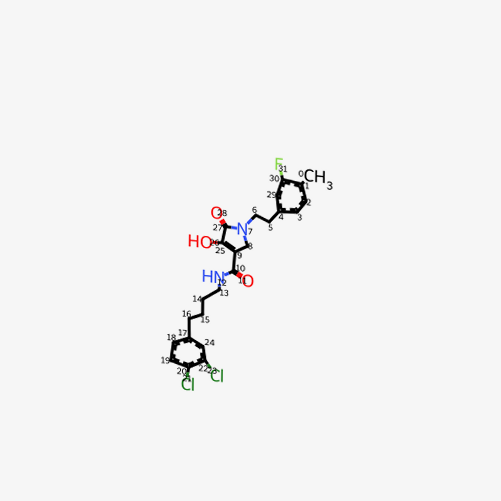 Cc1ccc(CCN2CC(C(=O)NCCCCc3ccc(Cl)c(Cl)c3)=C(O)C2=O)cc1F